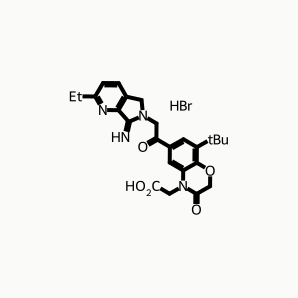 Br.CCc1ccc2c(n1)C(=N)N(CC(=O)c1cc3c(c(C(C)(C)C)c1)OCC(=O)N3CC(=O)O)C2